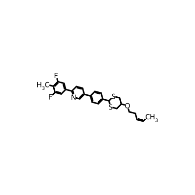 C/C=C\CCOC1CSC(c2ccc(-c3ccc(-c4cc(F)c(C)c(F)c4)nc3)cc2)SC1